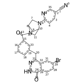 N#Cc1ccc(N2CC3CC2CN3C(=O)c2cccc(Cc3n[nH]c(=O)c4ccc(Br)cc34)c2)nc1